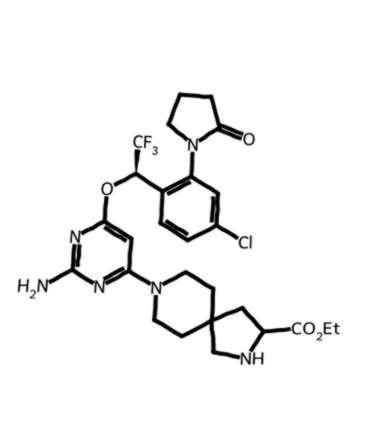 CCOC(=O)C1CC2(CCN(c3cc(O[C@H](c4ccc(Cl)cc4N4CCCC4=O)C(F)(F)F)nc(N)n3)CC2)CN1